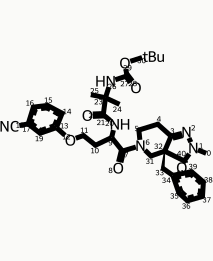 CN1N=C2CCN(C(=O)C(CCOc3cccc(C#N)c3)NC(=O)C(C)(C)NC(=O)OC(C)(C)C)C[C@@]2(Cc2ccccc2)C1=O